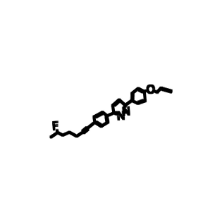 C=CCOc1ccc(-c2ccc(-c3ccc(C#CCCCC(C)F)cc3)nn2)cc1